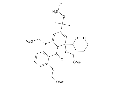 CC[SiH2]OC(C)(C)C1=CC(OCOC)(C2CCCOO2)C(C(=O)c2ccccc2OCOC)C(OCOC)=C1